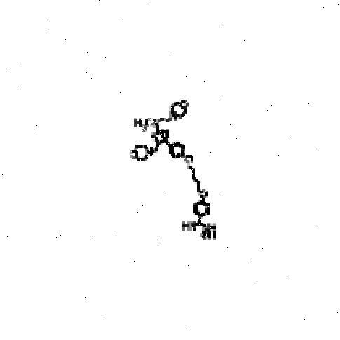 CN(CCN1CCOCC1)c1nc(-c2ccc(OCCCCCOc3ccc(C(=N)NO)cc3)cc2)c(CN2CCOCC2)s1